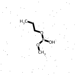 CCCOP(O)OC